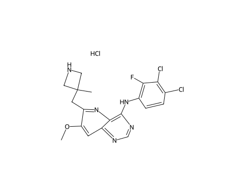 COc1cc2ncnc(Nc3ccc(Cl)c(Cl)c3F)c2nc1CC1(C)CNC1.Cl